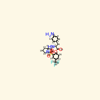 C[C@@]1(C(=O)NC(Cc2ccc(N)cc2)C(=O)O)CCCN1S(=O)(=O)c1cccc(C(F)(F)F)c1